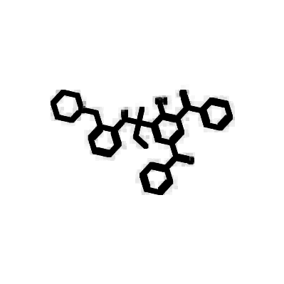 CCC(C)(Pc1ccccc1CN1CCCCC1)c1cc(C(=O)c2ccccc2)cc(C(=O)c2ccccc2)c1O